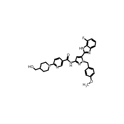 COc1ccc(Cn2nc(NC(=O)c3ccc(N4CCC(CO)CC4)nc3)cc2-c2nc3cccc(F)c3[nH]2)cc1